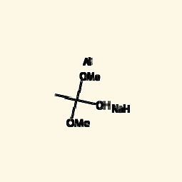 COC(C)(O)OC.[Al].[NaH]